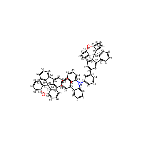 c1ccc(-c2ccccc2N(c2cccc(-c3ccc4c(c3)-c3ccccc3C43c4ccccc4Oc4ccccc43)c2)c2cccc(-c3ccc4c(c3)-c3ccccc3C43c4ccccc4Oc4ccccc43)c2)cc1